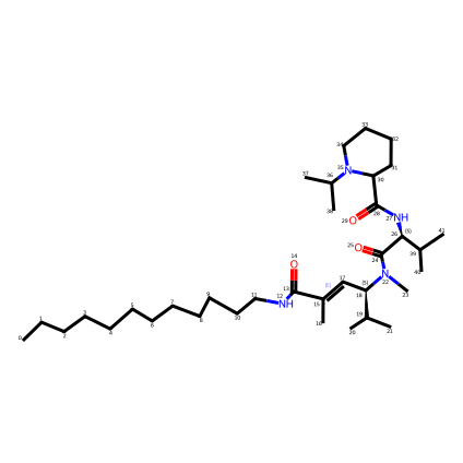 CCCCCCCCCCCCNC(=O)/C(C)=C/[C@H](C(C)C)N(C)C(=O)[C@@H](NC(=O)C1CCCCN1C(C)C)C(C)C